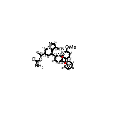 COc1ccc(CN2C3CC2CN(c2cnc(-c4cc(C(C)OC(N)=O)cn5ncc(C#N)c45)cn2)C3)cn1